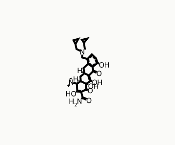 CN(C)C1C(O)=C(C(N)=O)C(=O)[C@]2(O)C(O)=C3C(=O)c4c(O)ccc(CN(CC5CC5)CC5CC5)c4C[C@H]3C[C@H]12